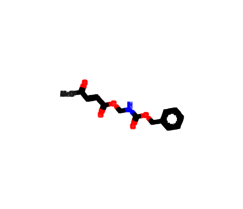 COC(=O)/C=C/C(=O)OCNC(=O)OCc1ccccc1